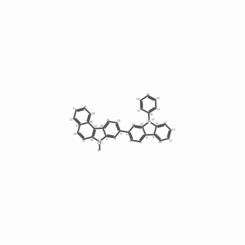 Cn1c2cc(-c3ccc4c5ccccc5p(-c5ccccc5)c4c3)ccc2c2c3ccccc3ccc21